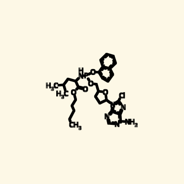 CCCCCOC(=O)C(CC(C)C)NP(OCC1CCC(n2c(Cl)nc3c(N)ncnc32)O1)Oc1cccc2ccccc12